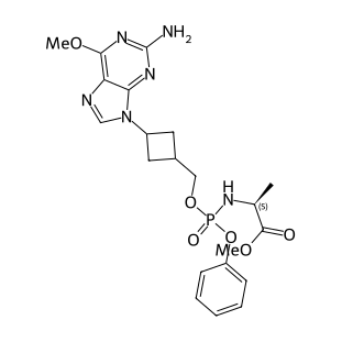 COC(=O)[C@H](C)NP(=O)(OCC1CC(n2cnc3c(OC)nc(N)nc32)C1)Oc1ccccc1